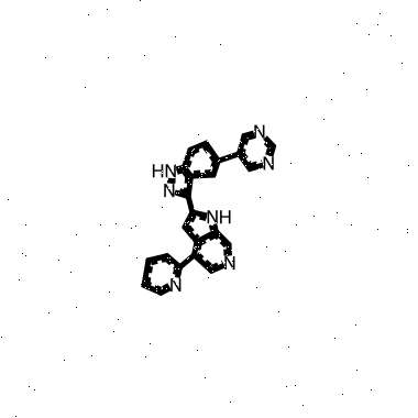 c1ccc(-c2cncc3[nH]c(-c4n[nH]c5ccc(-c6cncnc6)cc45)cc23)nc1